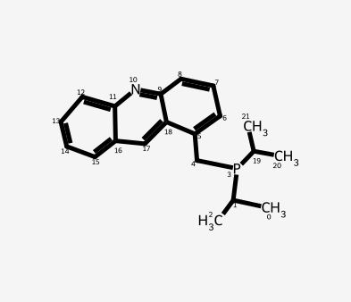 CC(C)P(Cc1cccc2nc3ccccc3cc12)C(C)C